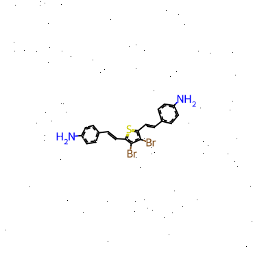 Nc1ccc(/C=C/c2sc(/C=C/c3ccc(N)cc3)c(Br)c2Br)cc1